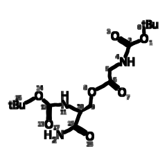 CC(C)(C)OC(=O)NCC(=O)OC[C@H](NC(=O)OC(C)(C)C)C(N)=O